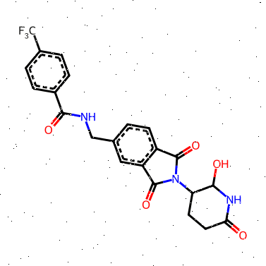 O=C1CCC(N2C(=O)c3ccc(CNC(=O)c4ccc(C(F)(F)F)cc4)cc3C2=O)C(O)N1